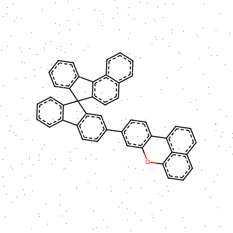 c1ccc2c(c1)-c1ccc(-c3ccc4c(c3)Oc3cccc5cccc-4c35)cc1C21c2ccccc2-c2c1ccc1ccccc21